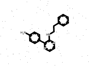 Nc1ccc(-c2nccnc2NCCc2ccccc2)cc1